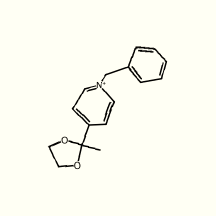 CC1(c2cc[n+](Cc3ccccc3)cc2)OCCO1